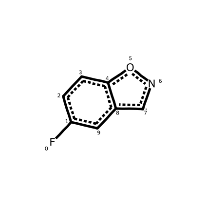 Fc1ccc2on[c]c2c1